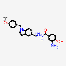 Nc1cc(C(=O)N/N=C/c2ccc3c(ccn3Cc3ccc(OC(F)(F)F)cc3)c2)ccc1O